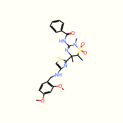 COc1ccc(CNc2csc(C3(C)N=C(NC(=O)c4ccccc4)N(C)S(=O)(=O)C3C)n2)c(OC)c1